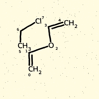 C=COC=C.CCCl